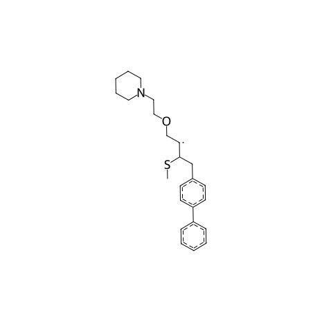 CSC([CH]COCCN1CCCCC1)Cc1ccc(-c2ccccc2)cc1